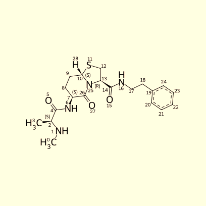 CN[C@@H](C)C(=O)N[C@H]1CC[C@@H]2SC[C@@H](C(=O)NCCc3ccccc3)N2C1=O